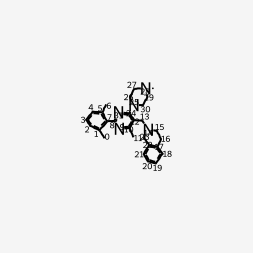 Cc1cccc(C)c1-c1nc(C)c(CN2CCc3ccccc3C2)c(N2CC[N]CC2)n1